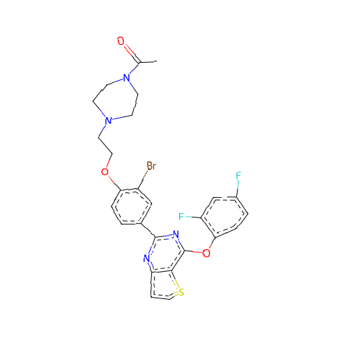 CC(=O)N1CCN(CCOc2ccc(-c3nc(Oc4ccc(F)cc4F)c4sccc4n3)cc2Br)CC1